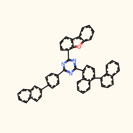 c1ccc2cc(-c3ccc(-c4nc(-c5ccc(-c6cccc7ccccc67)c6ccccc56)nc(-c5cccc6c5oc5ccccc56)n4)cc3)ccc2c1